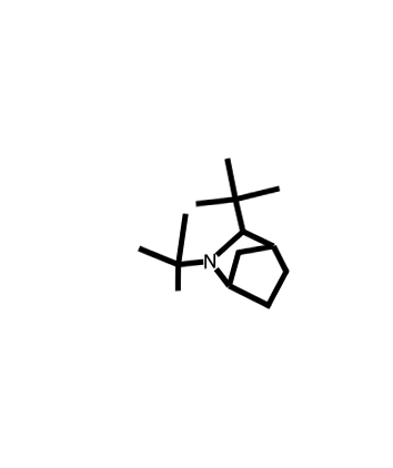 CC(C)(C)C1C2CCC(C2)N1C(C)(C)C